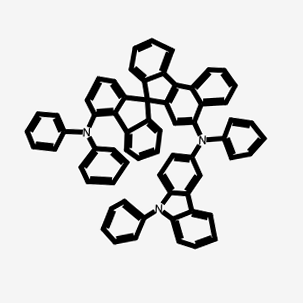 c1ccc(N(c2ccccc2)c2cccc3c2-c2ccccc2C32c3ccccc3-c3c2cc(N(c2ccccc2)c2ccc4c(c2)c2ccccc2n4-c2ccccc2)c2ccccc32)cc1